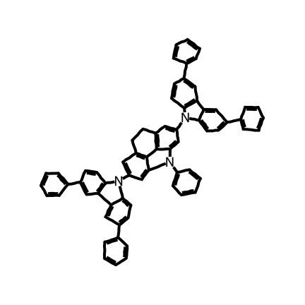 c1ccc(-c2ccc3c(c2)c2cc(-c4ccccc4)ccc2n3-c2cc3c4c5c(cc(-n6c7ccc(-c8ccccc8)cc7c7cc(-c8ccccc8)ccc76)cc5n(-c5ccccc5)c4c2)CC3)cc1